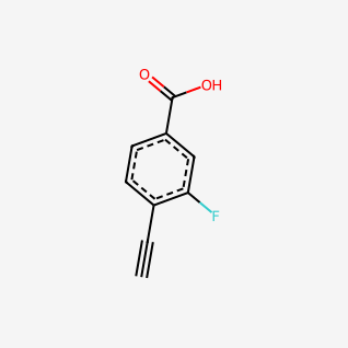 C#Cc1ccc(C(=O)O)cc1F